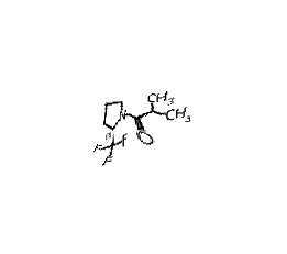 CC(C)C(=O)N1CCC[C@@H]1C(F)(F)F